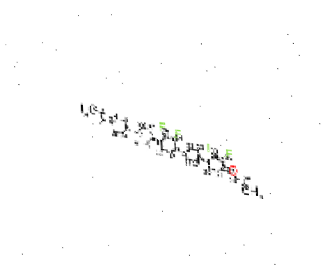 C/C=C/C1CCC(C2CC=C(c3ccc(-c4ccc(-c5ccc(OCCC)c(F)c5F)cc4)c(F)c3F)CC2)CC1